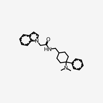 CN(C)C1(c2ccccc2)CCC(CNC(=O)Cn2ccc3ccccc32)CC1